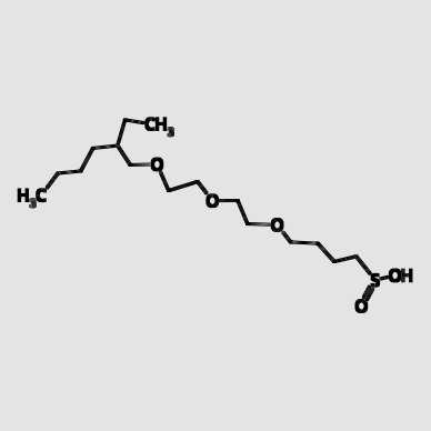 CCCCC(CC)COCCOCCOCCCCS(=O)O